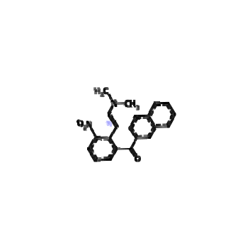 CN(C)/C=C/c1c(C(=O)c2ccc3ccccc3c2)cccc1[N+](=O)[O-]